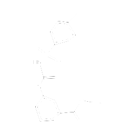 CCCCCCCCOC(=O)c1cccc(NC(=O)NS(=O)(=O)c2ccc(C)cc2)c1